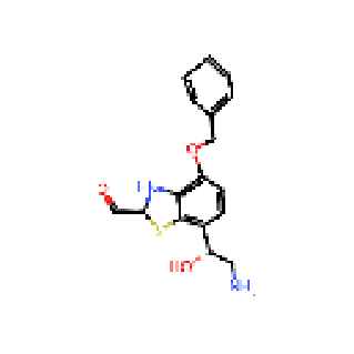 NC[C@H](O)c1ccc(OCc2ccccc2)c2c1SC(C=O)N2